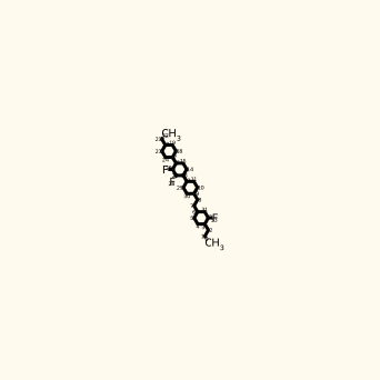 CCCC1CCC(CCC2CCC(C3CCC(C4CCC(CC)CC4)C(F)C3F)CC2)CC1F